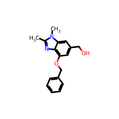 Cc1nc2c(OCc3ccccc3)cc(CO)cc2n1C